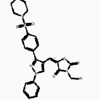 CC(C)CN1C(=O)/C(=C\c2cn(-c3ccccc3)nc2-c2ccc(S(=O)(=O)N3CCOCC3)cc2)SC1=S